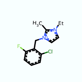 CCn1cc[n+](Cc2c(F)cccc2Cl)c1C